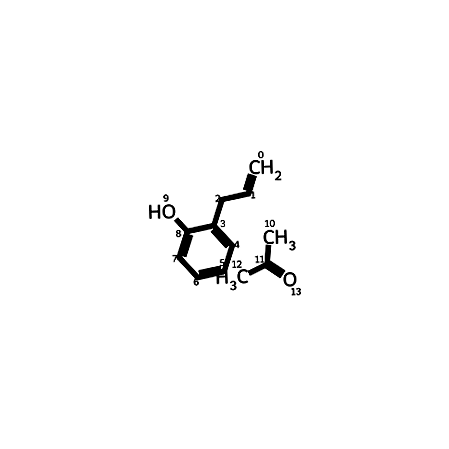 C=CCc1ccccc1O.CC(C)=O